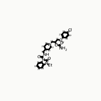 CCn1c(=O)n(C(=O)NCC2CCN(CC(COc3ccc(Cl)cc3)OC(N)=O)CC2)c2ccccc21